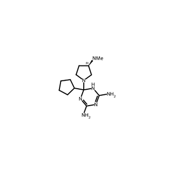 CN[C@@H]1CCN(C2(C3CCCC3)N=C(N)N=C(N)N2)C1